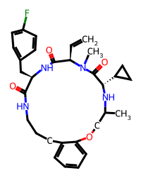 C=C[C@@H]1C(=O)N[C@H](Cc2ccc(F)cc2)C(=O)NCCCc2ccccc2OCC(C)N[C@@H](C2CC2)C(=O)N1C